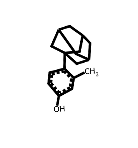 Cc1cc(O)ccc1C12CC3CC(CC(C3)C1)C2